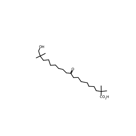 CC(C)(CO)CCCCCCCC(=O)CCCCCCCC(C)(C)C(=O)O